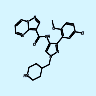 COc1ccc(Cl)cc1-c1nn(CC2CCNCC2)cc1NC(=O)c1cnn2cccnc12